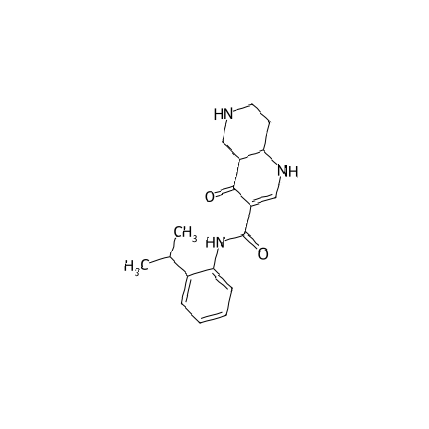 CC(C)c1ccccc1NC(=O)C1=CNC2CCNCC2C1=O